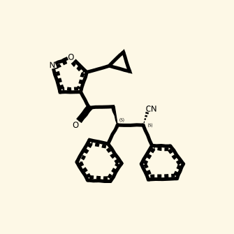 N#C[C@H](c1ccccc1)[C@H](CC(=O)c1cnoc1C1CC1)c1ccccc1